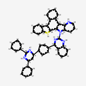 c1ccc(-c2cc(-c3ccc(-c4nc(-n5c6cccnc6c6c7ccccc7c7c8ccccc8sc7c65)nc5ccccc45)cc3)nc(-c3ccccc3)n2)cc1